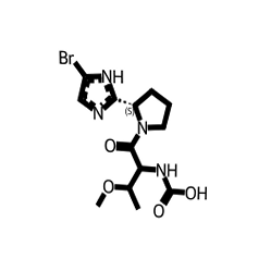 COC(C)C(NC(=O)O)C(=O)N1CCC[C@H]1c1ncc(Br)[nH]1